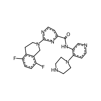 O=C(Nc1cnccc1N1CCNCC1)c1ccnc(N2CCc3c(F)ccc(F)c3C2)n1